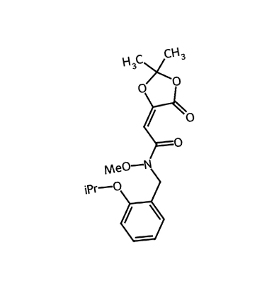 CON(Cc1ccccc1OC(C)C)C(=O)C=C1OC(C)(C)OC1=O